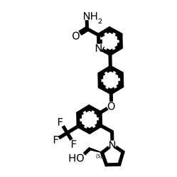 NC(=O)c1cccc(-c2ccc(Oc3ccc(C(F)(F)F)cc3CN3CCC[C@H]3CO)cc2)n1